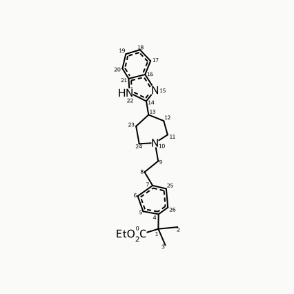 CCOC(=O)C(C)(C)c1ccc(CCN2CCC(c3nc4ccccc4[nH]3)CC2)cc1